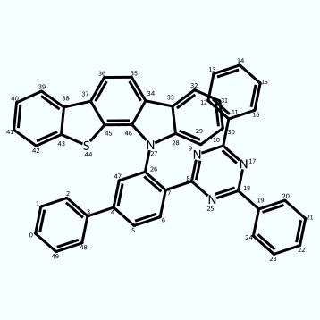 c1ccc(-c2ccc(-c3nc(-c4ccccc4)nc(-c4ccccc4)n3)c(-n3c4ccccc4c4ccc5c6ccccc6sc5c43)c2)cc1